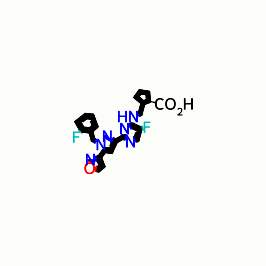 O=C(O)[C@H]1CCCC1CNc1nc(-c2cc(-c3ccon3)n(Cc3ccccc3F)n2)ncc1F